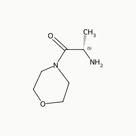 C[C@H](N)C(=O)N1CCOCC1